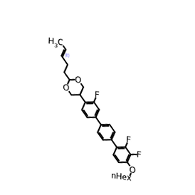 C/C=C/CCC1OCC(c2ccc(-c3ccc(-c4ccc(OCCCCCC)c(F)c4F)cc3)cc2F)CO1